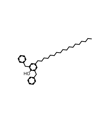 CCCCCCCCCCCCCCCCCCc1cc(Cc2ccccc2)c(O)c(Cc2ccccc2)c1